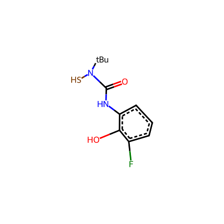 CC(C)(C)N(S)C(=O)Nc1cccc(F)c1O